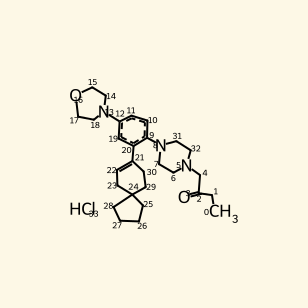 CCC(=O)CN1CCN(c2ccc(N3CCOCC3)cc2C2=CCC3(CCCC3)CC2)CC1.Cl